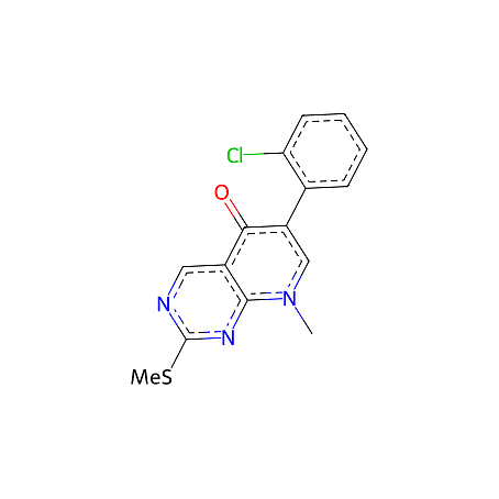 CSc1ncc2c(=O)c(-c3ccccc3Cl)cn(C)c2n1